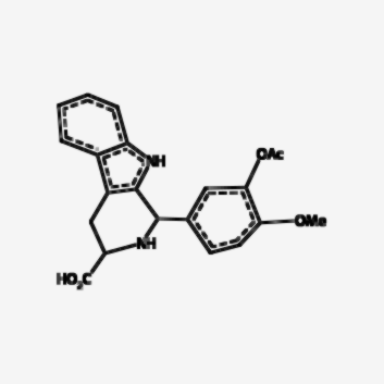 COc1ccc(C2NC(C(=O)O)Cc3c2[nH]c2ccccc32)cc1OC(C)=O